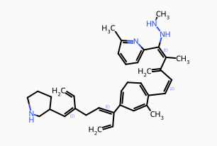 C=C/C(=C\C1CCCNC1)C/C=C(\C=C)C1=CCC=C(/C=C\C(=C)/C(C)=C(/NNC)c2cccc(C)n2)C(C)=C1